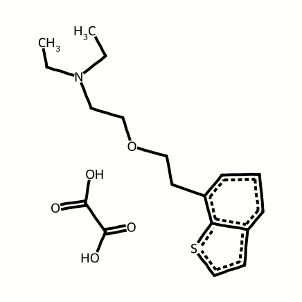 CCN(CC)CCOCCc1cccc2ccsc12.O=C(O)C(=O)O